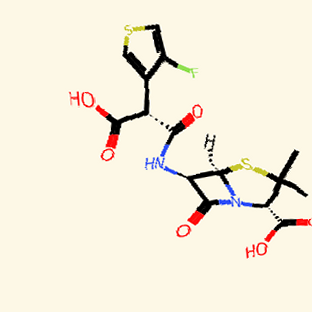 CC1(C)S[C@@H]2[C@H](NC(=O)[C@H](C(=O)O)c3cscc3F)C(=O)N2[C@H]1C(=O)O